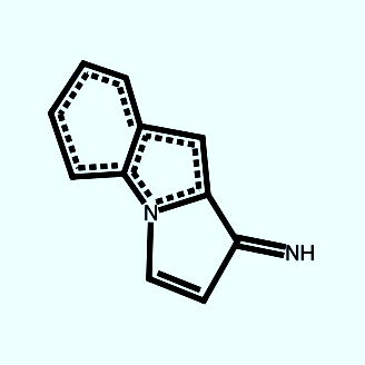 N=C1C=Cn2c1cc1ccccc12